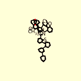 COc1cc(-c2nc(-c3cccc4c3sc3cccc(-c5cccc(-c6ccccc6)c5)c34)nc(-c3cccc4oc5cccc(-c6ccccc6-c6ccccc6)c5c34)n2)cc2ccccc12